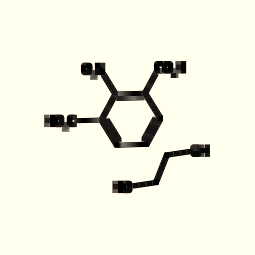 O=C(O)c1cccc(C(=O)O)c1[N+](=O)[O-].OCCO